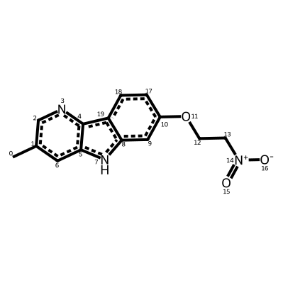 Cc1cnc2c(c1)[nH]c1cc(OCC[N+](=O)[O-])ccc12